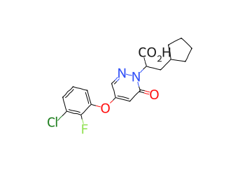 O=C(O)C(CC1CCCC1)n1ncc(Oc2cccc(Cl)c2F)cc1=O